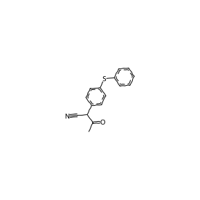 CC(=O)C(C#N)c1ccc(Sc2ccccc2)cc1